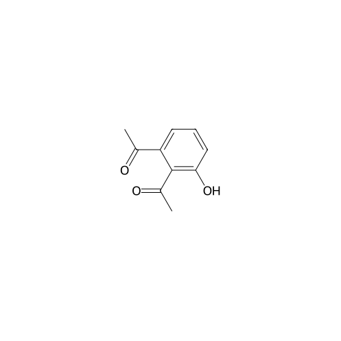 CC(=O)c1cccc(O)c1C(C)=O